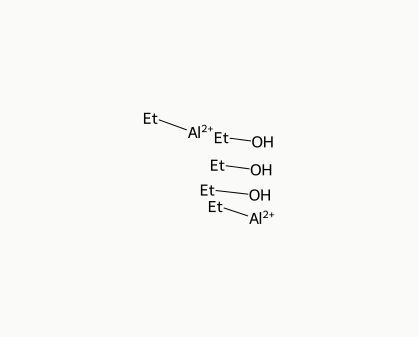 CCO.CCO.CCO.C[CH2][Al+2].C[CH2][Al+2]